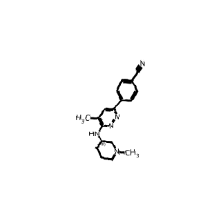 Cc1cc(-c2ccc(C#N)cc2)nnc1N[C@@H]1CCCN(C)C1